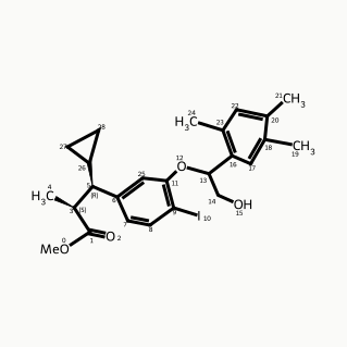 COC(=O)[C@@H](C)[C@H](c1ccc(I)c(OC(CO)c2cc(C)c(C)cc2C)c1)C1CC1